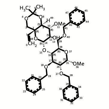 C=C[C@@]12COC(C)(C)O[C@H]1[C@H](OC)[C@H](O)[C@H](O[C@H]1[C@H](OCc3ccccc3)[C@@H](OCc3ccccc3)[C@@H](OC)O[C@@H]1COCc1ccccc1)O2